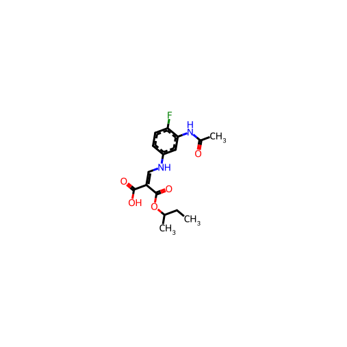 CCC(C)OC(=O)C(=CNc1ccc(F)c(NC(C)=O)c1)C(=O)O